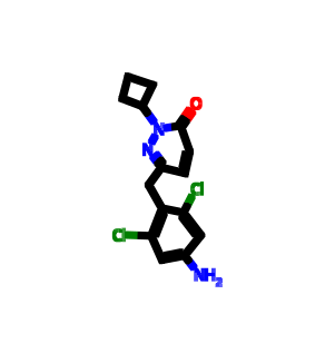 Nc1cc(Cl)c(Cc2ccc(=O)n(C3CCC3)n2)c(Cl)c1